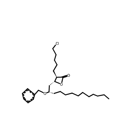 CCCCCCCCCCC[C@@H](C[C@H]1OC(=O)[C@@H]1CCCCCCl)OCc1ccccc1